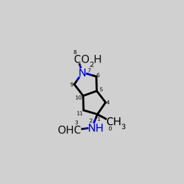 CC1(NC=O)CC2CN(C(=O)O)CC2C1